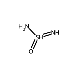 N=[SH](N)=O